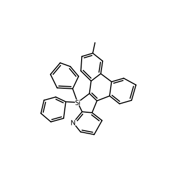 Cc1ccc2c3c(c4ccccc4c2c1)-c1cccnc1[Si]3(c1ccccc1)c1ccccc1